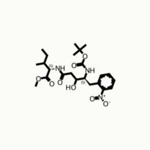 CCC(C)[C@H](NC(=O)CC(O)[C@H](Cc1ccccc1[N+](=O)[O-])NC(=O)OC(C)(C)C)C(=O)OC